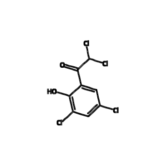 O=C(c1cc(Cl)cc(Cl)c1O)C(Cl)Cl